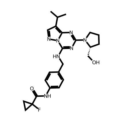 CC(C)c1cnn2c(NCc3ccc(NC(=O)C4(F)CC4)cc3)nc(N3CCC[C@@H]3CO)nc12